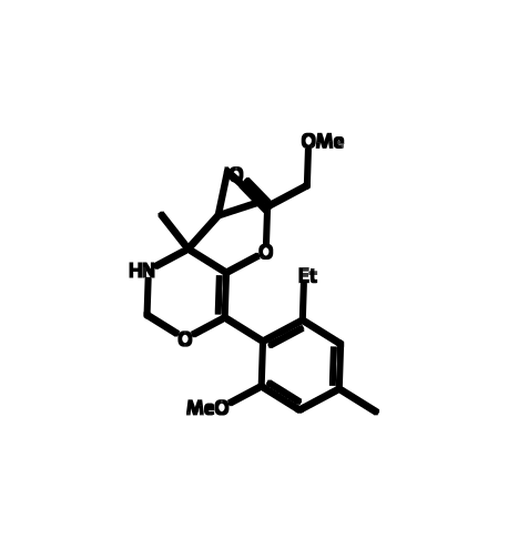 CCc1cc(C)cc(OC)c1C1=C(OC(=O)COC)C(C)(C2CC2)NCO1